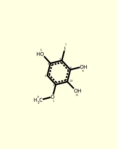 COc1cc(O)c(I)c(O)c1O